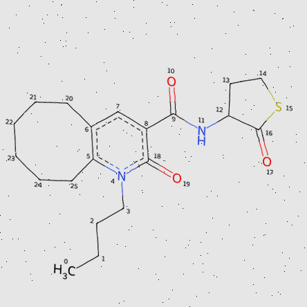 CCCCn1c2c(cc(C(=O)NC3CCSC3=O)c1=O)CCCCCC2